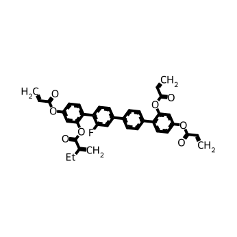 C=CC(=O)Oc1ccc(-c2ccc(-c3ccc(-c4ccc(OC(=O)C=C)cc4OC(=O)C(=C)CC)c(F)c3)cc2)c(OC(=O)C=C)c1